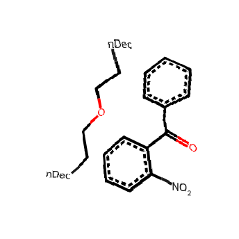 CCCCCCCCCCCCOCCCCCCCCCCCC.O=C(c1ccccc1)c1ccccc1[N+](=O)[O-]